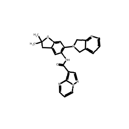 CC1(C)Cc2cc(NC(=O)c3cnn4cccnc34)c(N3Cc4cccnc4C3)cc2O1